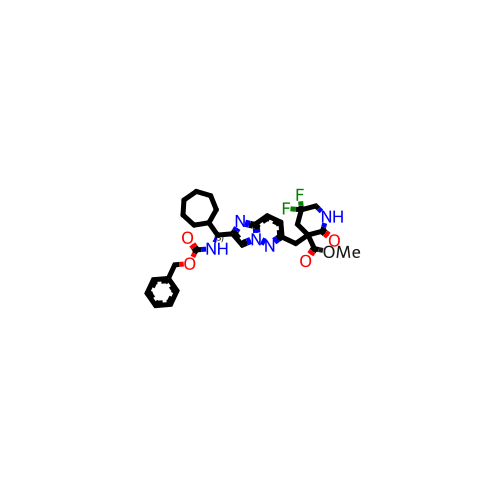 COC(=O)C1(Cc2ccc3nc([C@@H](NC(=O)OCc4ccccc4)C4CCCCCC4)cn3n2)CC(F)(F)CNC1=O